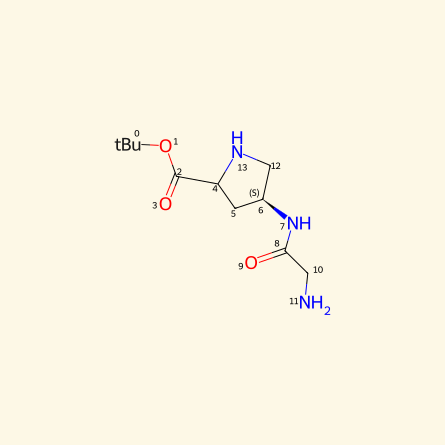 CC(C)(C)OC(=O)C1C[C@H](NC(=O)CN)CN1